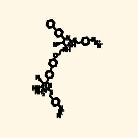 N#CC1=C(c2ccc(-c3ccc(OCCNC4NC(SCc5ccc(N=[N+]=[N-])cc5)=NC(c5ccc(-c6ccccc6)cc5)=C4C#N)cc3)cc2)N=C(SCc2ccc(N=[N+]=[N-])cc2)NC1NN